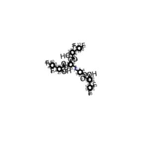 O=C(Oc1ccc(/C=C/c2cc(OC(=O)c3cc(-c4ccc(F)cc4F)ccc3O)cc(OC(=O)c3cc(-c4ccc(F)cc4F)ccc3O)c2)cc1)c1cc(-c2ccc(F)cc2F)ccc1O